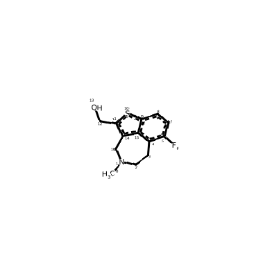 CN1CCc2c(F)ccc3sc(CO)c(c23)C1